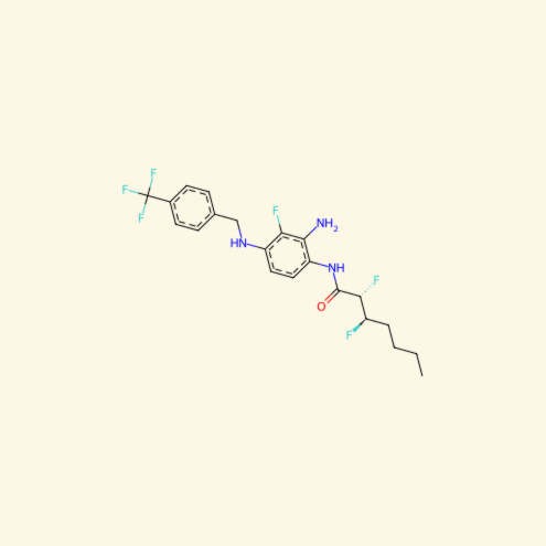 CCCC[C@@H](F)[C@@H](F)C(=O)Nc1ccc(NCc2ccc(C(F)(F)F)cc2)c(F)c1N